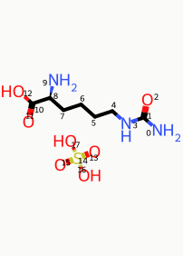 NC(=O)NCCCC[C@H](N)C(=O)O.O=S(=O)(O)O